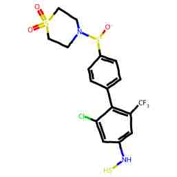 O=S1(=O)CCN([S+]([O-])c2ccc(-c3c(Cl)cc(NS)cc3C(F)(F)F)cc2)CC1